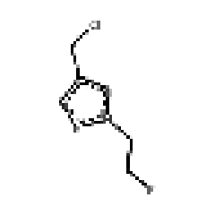 FCCn1cc(CCl)cn1